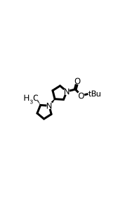 C[C@H]1CCCN1[C@H]1CCN(C(=O)OC(C)(C)C)C1